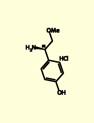 COC[C@H](N)c1ccc(O)cc1.Cl